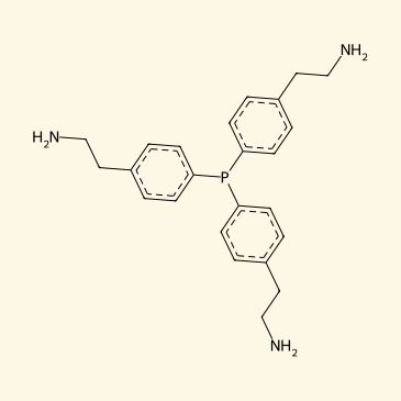 NCCc1ccc(P(c2ccc(CCN)cc2)c2ccc(CCN)cc2)cc1